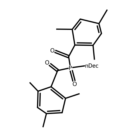 CCCCCCCCCCP(=O)(C(=O)c1c(C)cc(C)cc1C)C(=O)c1c(C)cc(C)cc1C